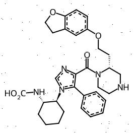 O=C(O)N[C@H]1CCCC[C@@H]1n1cnc(C(=O)N2CCNC[C@H]2CCOc2ccc3c(c2)CCO3)c1-c1ccccc1